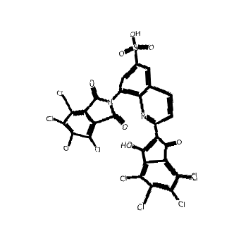 O=C1C(c2ccc3cc(S(=O)(=O)O)cc(N4C(=O)c5c(Cl)c(Cl)c(Cl)c(Cl)c5C4=O)c3n2)=C(O)c2c(Cl)c(Cl)c(Cl)c(Cl)c21